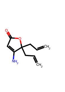 C=CCC1(CC=C)OC(=O)C=C1N